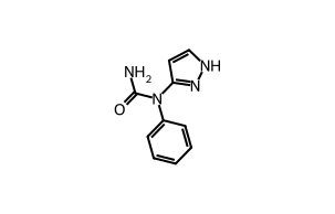 NC(=O)N(c1ccccc1)c1cc[nH]n1